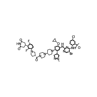 Cn1cc(-c2cc(Nc3ncc(Br)c(Nc4ccc(Cl)cc4P(C)(C)=O)n3)c(OC3CC3)cc2N2CCC(N3CCN(C(=O)[C@@H]4CCN(c5ccc(F)c(C6CC(=O)NC(=O)C6)c5F)C4)CC3)CC2)cn1